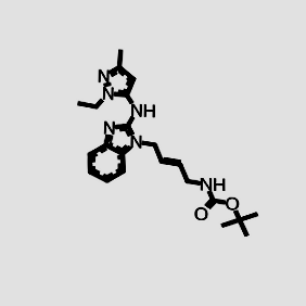 CCn1nc(C)cc1Nc1nc2ccccc2n1C/C=C/CNC(=O)OC(C)(C)C